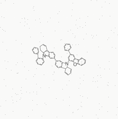 C1=CC2c3ccc(-c4ccc5c6c(n(-c7ccccc7-c7ccccc7)c5c4)CCC=C6)cc3N(c3cc(-c4ccccc4)cc4c3oc3ccccc34)C2C=C1